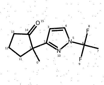 CC1(c2ccn(C(C)(F)F)n2)CCCC1=O